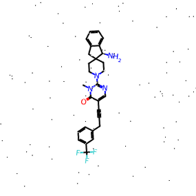 Cn1c(N2CCC3(CC2)Cc2ccccc2[C@H]3N)ncc(C#CCc2cccc(C(F)(F)F)c2)c1=O